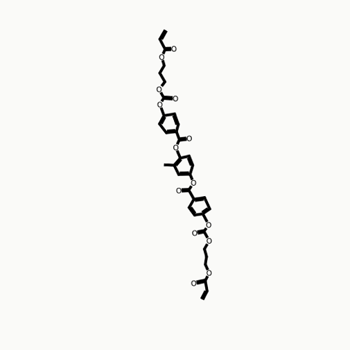 C=CC(=O)OCCCOC(=O)Oc1ccc(C(=O)Oc2ccc(OC(=O)c3ccc(OC(=O)OCCCOC(=O)C=C)cc3)c(C)c2)cc1